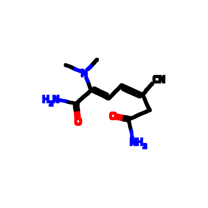 CN(C)C(=CC=C(C#N)CC(N)=O)C(N)=O